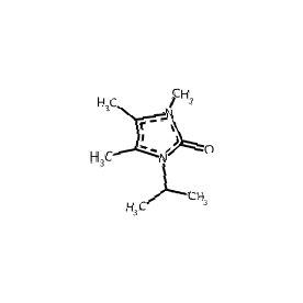 Cc1c(C)n(C(C)C)c(=O)n1C